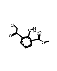 COC(=O)c1cccc(C(=O)CCl)c1ON